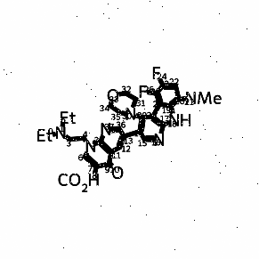 CCN(CC)CCn1cc(C(=O)O)c(=O)c2cc(-c3cnc4[nH]c5c(NC)cc(F)c(F)c5c4c3N3CCOCC3)cnc21